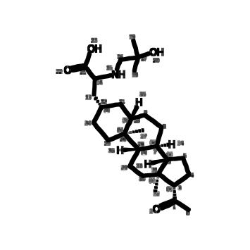 CC(=O)[C@H]1CC[C@H]2[C@@H]3CC[C@H]4C[C@@H](CC(NCC(C)(C)O)C(=O)O)CC[C@]4(C)[C@H]3CC[C@]12C